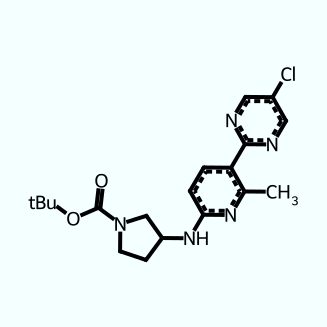 Cc1nc(NC2CCN(C(=O)OC(C)(C)C)C2)ccc1-c1ncc(Cl)cn1